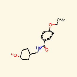 COCOc1ccc(C(=O)NCC2CCC(O)CC2)cc1